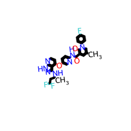 Cc1cc(C(=O)Nc2ccc(Oc3ccnc4[nH]nc(NC(C)CC(F)F)c34)cn2)c(=O)n(-c2ccc(F)cc2)c1